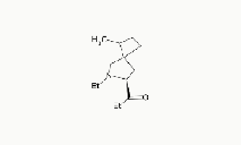 CCC(=O)[C@@H]1CC2(CCC2C)CN1CC